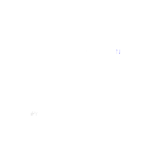 CC(C)c1cccc(CC2CN3CCC2CC3)c1